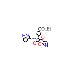 CCOC(=O)c1ccc(C2C(C(=O)c3ccncc3)=C(O)C(=O)N2CCc2c[nH]c3ccccc23)cc1